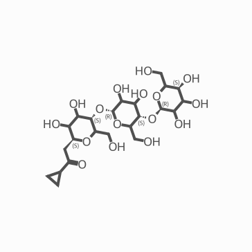 O=C(C[C@@H]1OC(CO)[C@@H](O[C@H]2OC(CO)[C@@H](O[C@H]3OC(CO)[C@@H](O)C(O)C3O)C(O)C2O)C(O)C1O)C1CC1